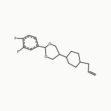 C=CCC1CCC(C2COC(c3ccc(F)c(F)c3)OC2)CC1